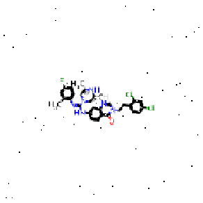 Cc1cc(F)ccc1/N=C(/Nc1ccc2c(=O)n(CCc3ccc(Cl)cc3Cl)cnc2c1)N1C[C@@H](C)N[C@@H](C)C1